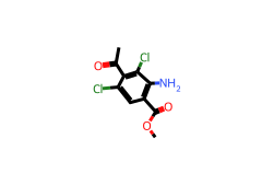 COC(=O)c1cc(Cl)c(C(C)=O)c(Cl)c1N